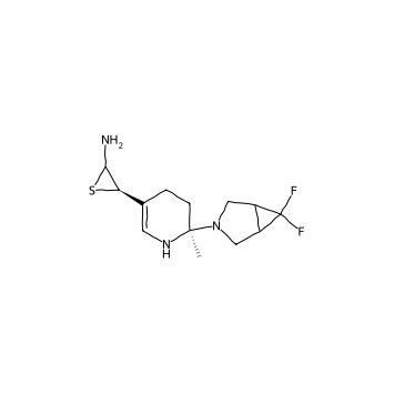 C[C@@]1(N2CC3C(C2)C3(F)F)CCC([C@H]2SC2N)=CN1